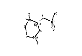 CC(=O)C[C@@H]1CN(C)CCN1C